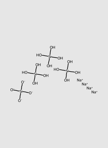 O[Si](O)(O)O.O[Si](O)(O)O.O[Si](O)(O)O.[Na+].[Na+].[Na+].[Na+].[O-][Si]([O-])([O-])[O-]